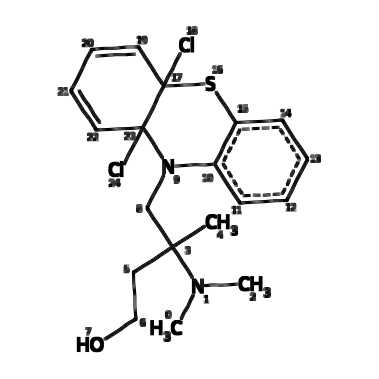 CN(C)C(C)(CCO)CN1c2ccccc2SC2(Cl)C=CC=CC12Cl